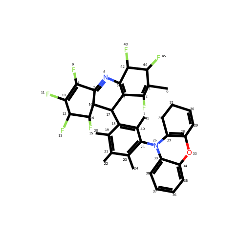 CC1=C(F)C2=C(N=C3C(F)=C(F)C(F)C(F)C3C2c2c(C)c(C)c(C)c(N3C4=C(C=CCC4)Oc4ccccc43)c2C)C(F)C1F